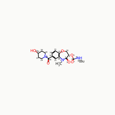 CN1C(=O)[C@@H](OC(=O)NC(C)(C)C)COc2ccc(C(=O)N3CCC(O)CC3)cc21